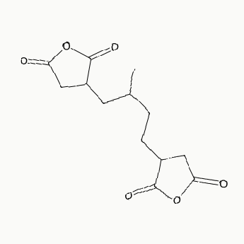 CC(CCC1CC(=O)OC1=O)CC1CC(=O)OC1=O